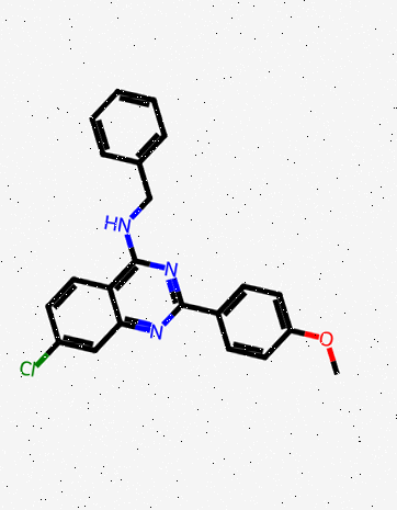 COc1ccc(-c2nc(NCc3ccccc3)c3ccc(Cl)cc3n2)cc1